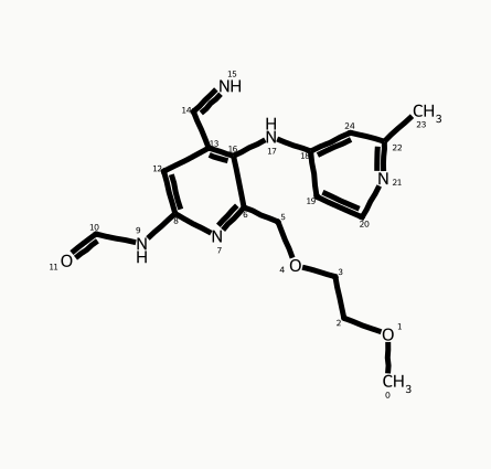 COCCOCc1nc(NC=O)cc(C=N)c1Nc1ccnc(C)c1